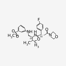 CC(C)[C@@H](CNc1cccc(S(C)(=O)=O)c1)NC(=O)[C@@H](CC(=O)N1CCOCC1)c1ccc(F)cc1